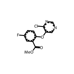 COC(=O)c1cc(F)ccc1Oc1cncnc1Cl